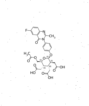 CC(=O)OC[C@H]1O[C@@H](Oc2ccc(-n3c(C)nc4ccc(F)cc4c3=O)cc2)[C@@H](CC(=O)O)[C@H](CC(=O)O)[C@@H]1CC(=O)O